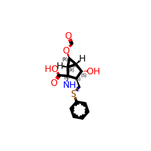 N[C@]1(C(=O)O)[C@@H]2[C@@H](OC=O)[C@@H]2[C@H](O)[C@H]1CSc1ccccc1